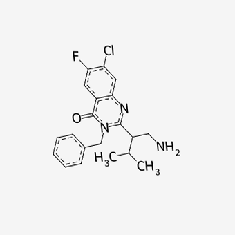 CC(C)C(CN)c1nc2cc(Cl)c(F)cc2c(=O)n1Cc1ccccc1